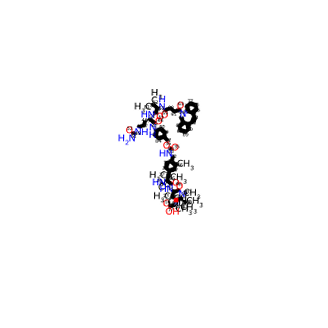 CN[C@H](C(=O)N[C@H](C(=O)N(C)[C@H](/C=C(\C)C(=O)O)C(C)C)C(C)(C)C)C(C)(C)c1ccc(CNC(=O)OCc2ccc(NC(=O)[C@H](CCCNC(N)=O)NC(=O)[C@@H](NC(=O)CCC(=O)N3Cc4ccccc4C#Cc4ccccc43)C(C)C)cc2)c(C)c1